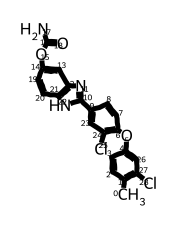 Cc1ccc(Oc2ccc(-c3nc4cc(OC(N)=O)ccc4[nH]3)cc2Cl)cc1Cl